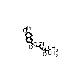 C=C(C)C(=O)OCC(O)COC(=O)c1ccc2cc(OC(C)C)ccc2c1